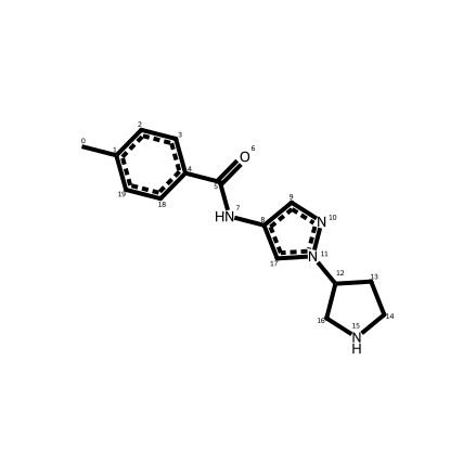 Cc1ccc(C(=O)Nc2cnn(C3CCNC3)c2)cc1